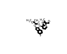 CO[C@@H](C)C(=O)O[C@@H]1Cc2cc(F)ccc2[C@H]1Oc1cccn2c(C=O)c(C)nc12